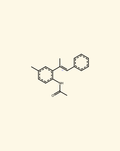 CC(=O)Nc1ccc(C)cc1/C(C)=C/c1ccccc1